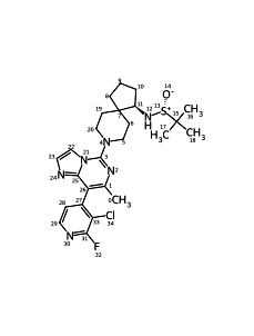 Cc1nc(N2CCC3(CCC[C@H]3N[S@+]([O-])C(C)(C)C)CC2)n2ccnc2c1-c1ccnc(F)c1Cl